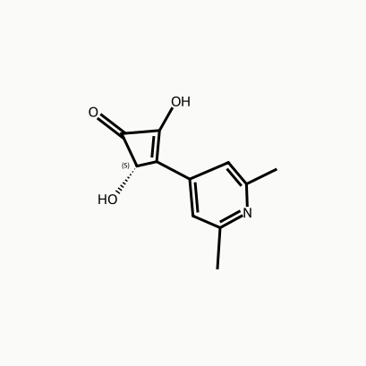 Cc1cc(C2=C(O)C(=O)[C@H]2O)cc(C)n1